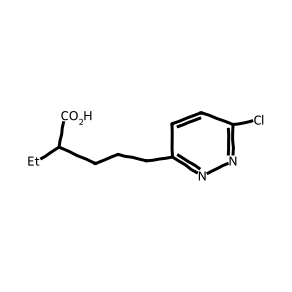 CCC(CCCc1ccc(Cl)nn1)C(=O)O